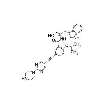 CC(C)Oc1ccc(C#Cc2cnc(N3CCNCC3)nc2)cc1C(=O)N[C@@H](CO)Cc1c[nH]c2ccccc12